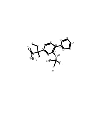 CCC(C)(C(N)=O)c1ccc(-c2ccccc2)c(OC(F)(F)F)c1